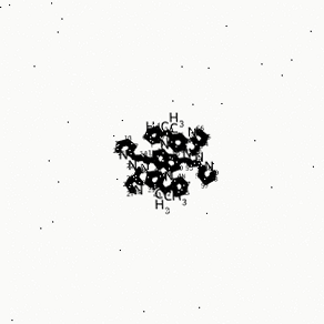 CC1(C)c2ccccc2N(c2cc(-c3cc(-c4ccccn4)nc(-c4cccnc4)n3)cc3c(N4c5ccccc5C(C)(C)c5ccccc54)cc(-c4cc(-c5ccccn5)nc(-c5cccnc5)n4)cc23)c2ccccc21